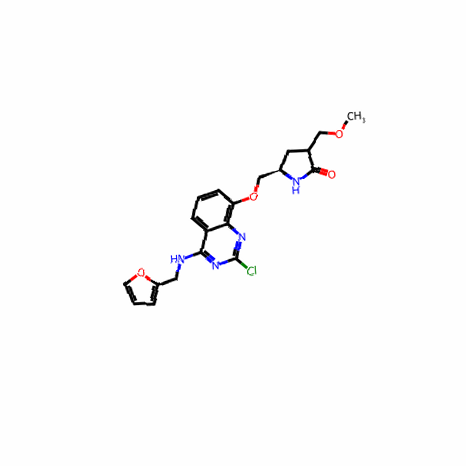 COCC1C[C@H](COc2cccc3c(NCc4ccco4)nc(Cl)nc23)NC1=O